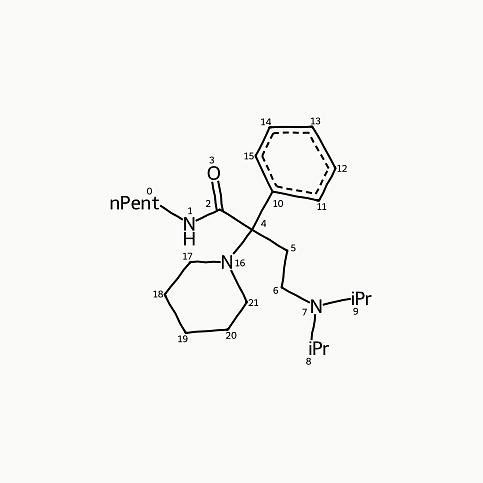 CCCCCNC(=O)C(CCN(C(C)C)C(C)C)(c1ccccc1)N1CCCCC1